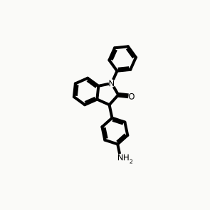 Nc1ccc(C2C(=O)N(c3ccccc3)c3ccccc32)cc1